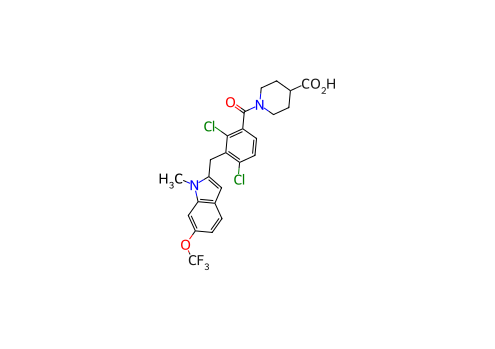 Cn1c(Cc2c(Cl)ccc(C(=O)N3CCC(C(=O)O)CC3)c2Cl)cc2ccc(OC(F)(F)F)cc21